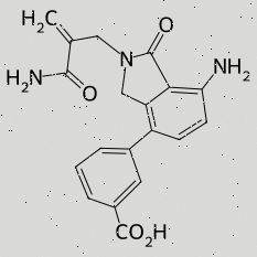 C=C(CN1Cc2c(-c3cccc(C(=O)O)c3)ccc(N)c2C1=O)C(N)=O